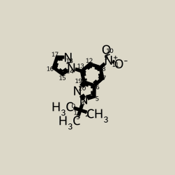 CC(C)(C)n1cc2cc([N+](=O)[O-])cc(-n3cccn3)c2n1